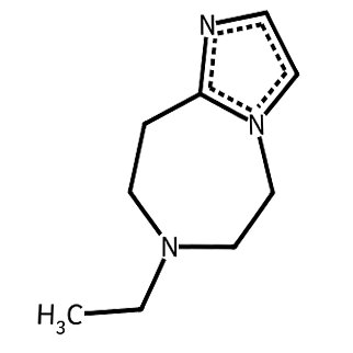 CCN1CCc2nccn2CC1